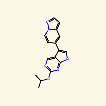 CC(C)Nc1ncc2c(-c3ccn4nccc4c3)c[nH]c2n1